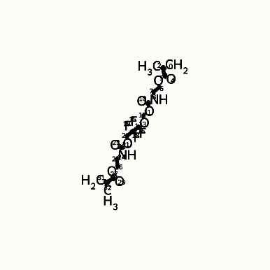 C=C(C)C(=O)OCCNC(=O)OCOC(F)(F)C(F)(F)COC(=O)NCCOC(=O)C(=C)C